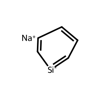 [Na+].c1cc[si-]cc1